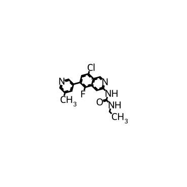 CCNC(=O)Nc1cc2c(F)c(-c3cncc(C)c3)cc(Cl)c2cn1